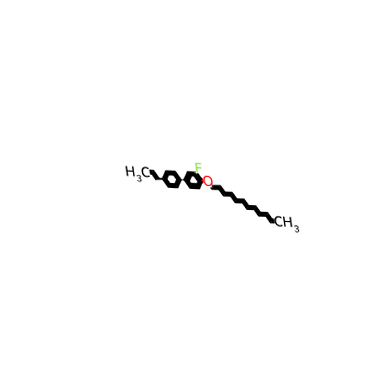 CCCCCCCCCCCCOc1ccc([C@H]2CC[C@H](CCC)CC2)cc1F